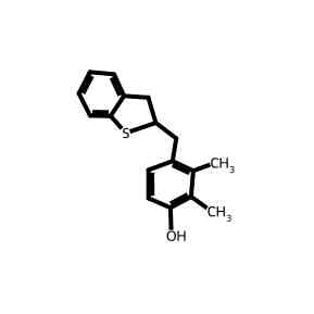 Cc1c(O)ccc(CC2Cc3ccccc3S2)c1C